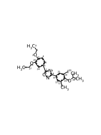 CCOc1ccc(-c2nc(-c3cc(C)c(OC(C)C)c(I)c3)no2)cc1OCC